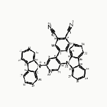 N#Cc1ccc(-c2cc(-n3c4ccccc4c4ccccc43)ncc2-n2c3ccccc3c3ccccc32)cc1C#N